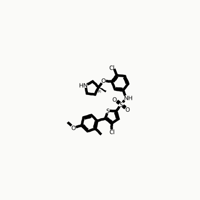 COc1ccc(-c2sc(S(=O)(=O)Nc3ccc(Cl)c(O[C@]4(C)CCNC4)c3)cc2Cl)c(C)c1